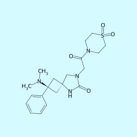 CN(C)[C@]1(c2ccccc2)C[C@@]2(CN(CC(=O)N3CCS(=O)(=O)CC3)C(=O)N2)C1